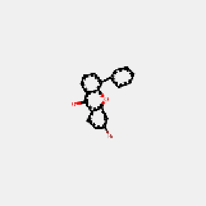 O=c1c2ccc(Br)cc2oc2c(-c3ccccc3)cccc12